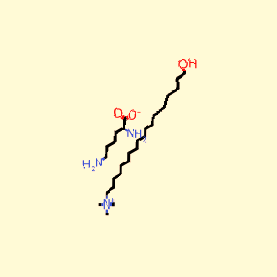 C[N+](C)(C)CCCCCCCCCCCCCCCCCCO.NCCCC[C@H](N)C(=O)[O-]